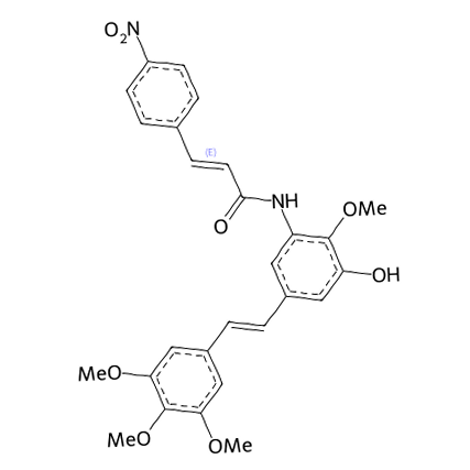 COc1cc(C=Cc2cc(O)c(OC)c(NC(=O)/C=C/c3ccc([N+](=O)[O-])cc3)c2)cc(OC)c1OC